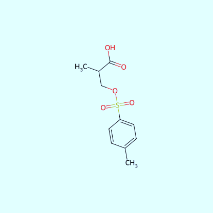 Cc1ccc(S(=O)(=O)OCC(C)C(=O)O)cc1